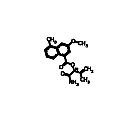 C=C(C)[C@H](OC(=O)c1cc(OC)cc2c(C)cccc12)C(N)=O